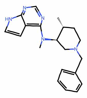 C[C@@H]1CCN(Cc2ccccc2)C[C@H]1N(C)c1ncnc2[nH]ccc12